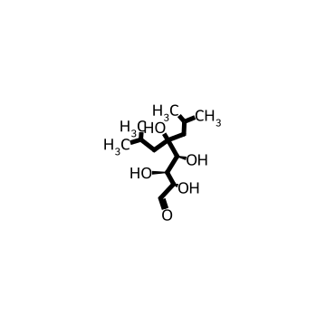 CC(C)CC(O)(CC(C)C)[C@@H](O)[C@H](O)[C@@H](O)C=O